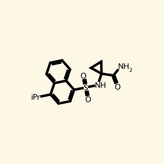 CC(C)c1ccc(S(=O)(=O)NC2(C(N)=O)CC2)c2ccccc12